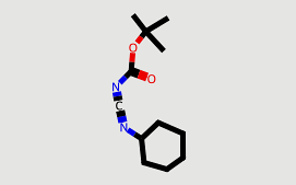 CC(C)(C)OC(=O)N=C=NC1CCCCC1